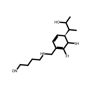 CCC1=C(CNCCCCN=O)C=C[C@@H](C(C)C(C)O)C1S